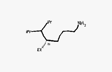 CC[C@@H](CCCN)C(C(C)C)C(C)C